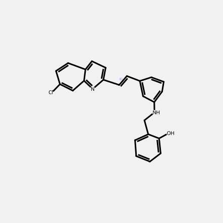 Oc1ccccc1CNc1cccc(/C=C/c2ccc3ccc(Cl)cc3n2)c1